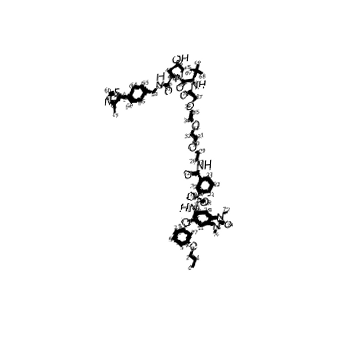 CCCOc1cccc(Oc2cc3c(cc2NS(=O)(=O)c2cccc(C(=O)NCCOCCOCCOCC(=O)NC(C(=O)N4C[C@@H](O)C[C@@H]4C(=O)NCc4ccc(-c5scnc5C)cc4)C(C)(C)C)c2)n(C)c(=O)n3C)c1